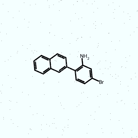 Nc1cc(Br)ccc1-c1ccc2ccccc2c1